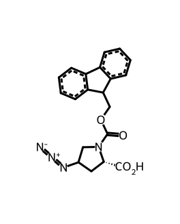 [N-]=[N+]=NC1C[C@@H](C(=O)O)N(C(=O)OCC2c3ccccc3-c3ccccc32)C1